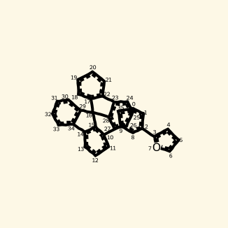 c1cc(-c2ccco2)cc(-c2cccc3c2C2(c4ccccc4-c4ccccc42)c2ccccc2-3)c1